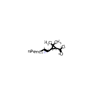 CCCCC/C=C/C1C(C(=O)Cl)C1(C)C